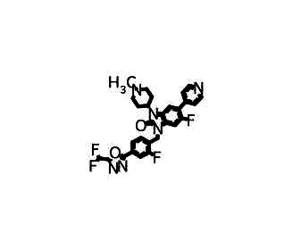 CN1CCC(n2c(=O)n(Cc3ccc(-c4nnc(C(F)F)o4)cc3F)c3cc(F)c(-c4ccncc4)cc32)CC1